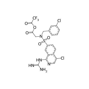 N=C(N)Nc1ncc(Cl)c2ccc(S(=O)(=O)N(CC(=O)OC(=O)C(F)(F)F)Cc3cccc(Cl)c3)cc12